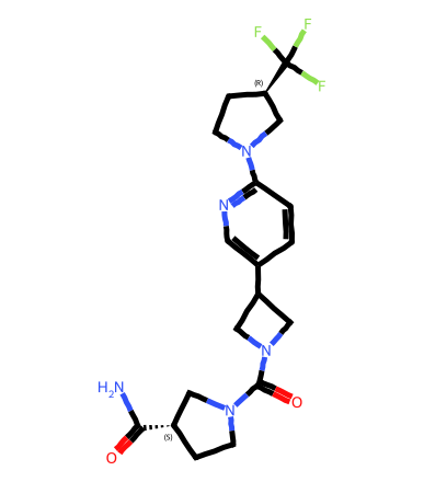 NC(=O)[C@H]1CCN(C(=O)N2CC(c3ccc(N4CC[C@@H](C(F)(F)F)C4)nc3)C2)C1